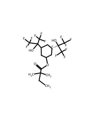 CCC(C)(C)C(=O)OC1CC(C(O)(C(F)(F)F)C(F)(F)F)C[C@H](C(O)(C(F)(F)F)C(F)(F)F)C1